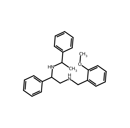 COc1ccccc1CNCC(NC(C)c1ccccc1)c1ccccc1